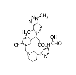 Cc1c(C(CC(=O)O)c2ccc(Cl)c(CN3CCCC(n4cccn4)C3)c2)ccc2c1nnn2C.O=CO